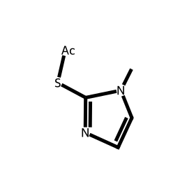 CC(=O)Sc1nccn1C